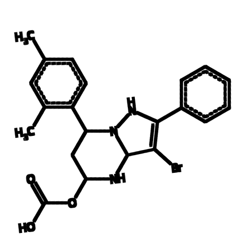 Cc1ccc(C2CC(OC(=O)O)NC3C(Br)=C(c4ccccc4)NN32)c(C)c1